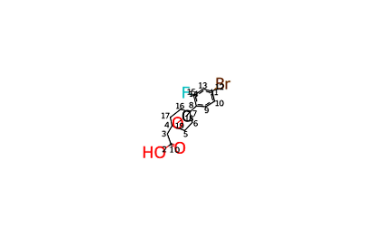 O=C(O)CC12CCC(c3ccc(Br)cc3F)(CC1)CO2